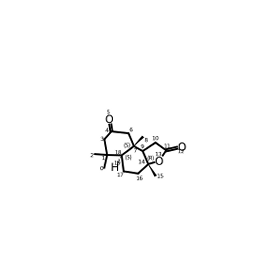 CC1(C)CC(=O)C[C@]2(C)C3CC(=O)O[C@]3(C)CC[C@@H]12